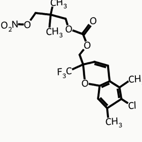 Cc1cc2c(c(C)c1Cl)C=CC(COC(=O)OCC(C)(C)CO[N+](=O)[O-])(C(F)(F)F)O2